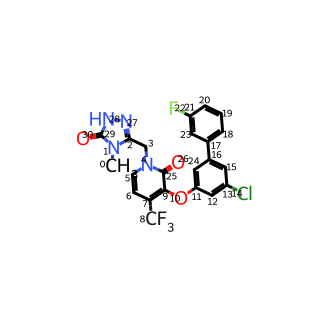 Cn1c(Cn2ccc(C(F)(F)F)c(Oc3cc(Cl)cc(-c4cccc(F)c4)c3)c2=O)n[nH]c1=O